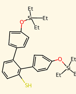 CC[Si](CC)(CC)Oc1ccc(-c2cccc(S)c2-c2ccc(O[Si](CC)(CC)CC)cc2)cc1